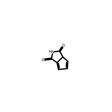 O=C1NC(=O)C2C=CC=C12